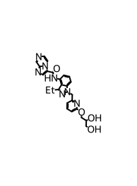 CCc1nn(Cc2cccc(OCC(O)CO)n2)c2cccc(NC(=O)c3cnc4cnccn34)c12